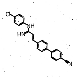 N#Cc1ccc(-c2ccc(/C=C/C(=N)Nc3ccc(Cl)cc3)cc2)cc1